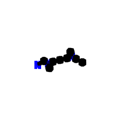 N#Cc1cccc(-n2c3ccccc3c3cc(-c4ccc(-c5ccc6c(c5)c5ccccc5n6-c5ccc(-c6ccccc6)cc5)cc4)ccc32)c1